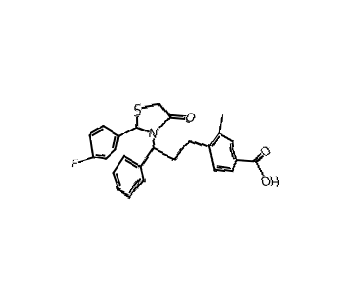 Cc1cc(C(=O)O)ccc1CCC(c1ccccc1)N1C(=O)CSC1c1ccc(F)cc1